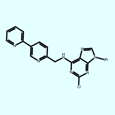 CC(C)n1cnc2c(NCc3ccc(-c4ccccn4)cn3)nc(Cl)nc21